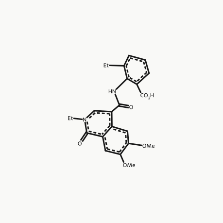 CCc1cccc(C(=O)O)c1NC(=O)c1cn(CC)c(=O)c2cc(OC)c(OC)cc12